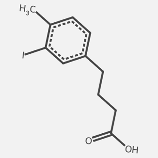 Cc1ccc(CCCC(=O)O)cc1I